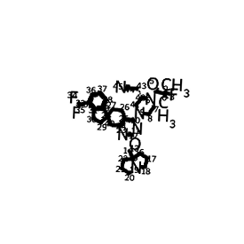 CC(C)(F)C(=O)N1CCN(c2nc(OCC34CCCN3CCC4)nc3c2CCC2(CCc4c(C(F)F)cccc42)C3)C[C@@H]1CC#N